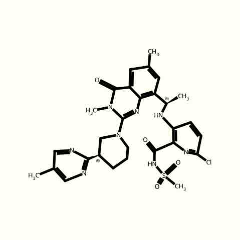 Cc1cnc([C@@H]2CCCN(c3nc4c([C@@H](C)Nc5ccc(Cl)nc5C(=O)NS(C)(=O)=O)cc(C)cc4c(=O)n3C)C2)nc1